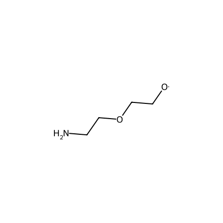 NCCOCC[O]